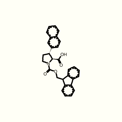 O=C(O)[C@@H]1[C@@H](c2ccc3ccccc3c2)CCN1C(=O)OCC1c2ccccc2-c2ccccc21